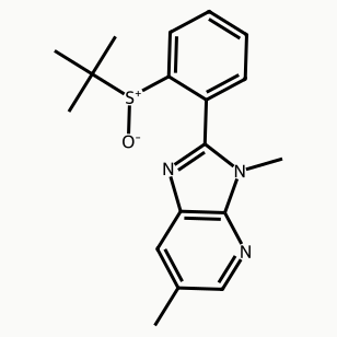 Cc1cnc2c(c1)nc(-c1ccccc1[S+]([O-])C(C)(C)C)n2C